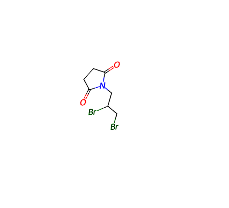 O=C1CCC(=O)N1CC(Br)CBr